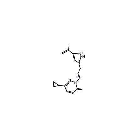 C=C(C)C1=CN(C/C=C/N2N=C(C3CC3)C=CC2=C)NN1